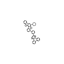 c1cc(-c2cnc3c4ccccc4c4ccccc4c3n2)cc(-c2cccc3c2oc2c(C4CCCCC4)cc4c5ccccc5oc4c23)c1